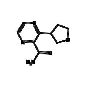 NC(=O)c1nccnc1C1CCOC1